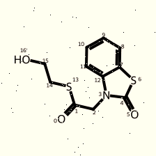 O=C(Cn1c(=O)sc2ccccc21)SCCO